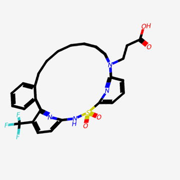 O=C(O)CCN1CCCCCCCc2ccccc2-c2nc(ccc2C(F)(F)F)NS(=O)(=O)c2cccc1n2